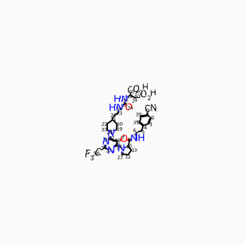 N#Cc1ccc(CCNC(=O)C2CCCN2c2cc(N3CCC(CCNC(=O)NC(CC(=O)O)C(=O)O)CC3)nc(C(F)(F)F)n2)cc1